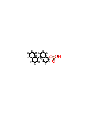 O=S(O)Oc1cccc2c(-c3cccc4ccccc34)cccc12